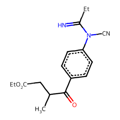 CCOC(=O)CC(C)C(=O)c1ccc(N(C#N)C(=N)CC)cc1